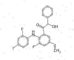 C=Cc1cc(F)c(Nc2ccc(I)cc2F)c(C(=O)C(O)c2ccccc2)c1